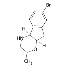 CC1CN[C@H]2c3ccc(Br)cc3C[C@H]2O1